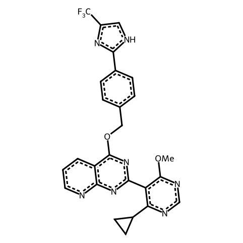 COc1ncnc(C2CC2)c1-c1nc(OCc2ccc(-c3nc(C(F)(F)F)c[nH]3)cc2)c2cccnc2n1